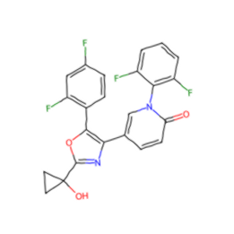 O=c1ccc(-c2nc(C3(O)CC3)oc2-c2ccc(F)cc2F)cn1-c1c(F)cccc1F